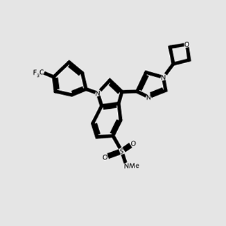 CNS(=O)(=O)c1ccc2c(c1)c(-c1cn(C3COC3)cn1)cn2-c1ccc(C(F)(F)F)cc1